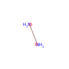 NC(=O)CCCCCCCCCCCCCCCCCCCCCCCCCCCCCCC(N)=O